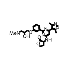 CNCC(O)COc1cccc(-c2nc(NC3CCOC3=O)cc(-c3c(C)noc3C)n2)c1